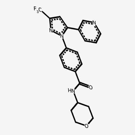 O=C(NC1CCOCC1)c1ccc(-n2nc(C(F)(F)F)cc2-c2cccnc2)cc1